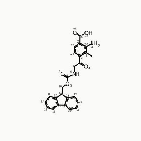 Cc1c(C(=O)CNC(=O)OCC2c3ccccc3-c3ccccc32)ccc(C(=O)O)c1N